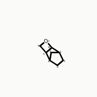 C1CC2CC1C1COC21